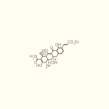 CCOC(=O)/C=C/c1ccc2c(c1O)C(=O)C1=C(O)[C@]3(O)C(=O)C(C(N)=O)=C(O)[C@@H](N(C)C)[C@H]3[C@@H](O)[C@@H]1[C@H]2C